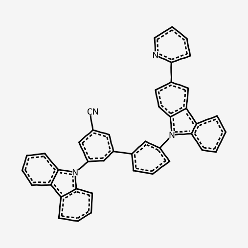 N#Cc1cc(-c2cccc(-n3c4ccccc4c4cc(-c5ccccn5)ccc43)c2)cc(-n2c3ccccc3c3ccccc32)c1